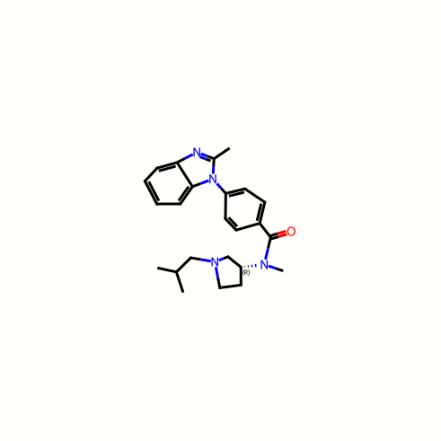 Cc1nc2ccccc2n1-c1ccc(C(=O)N(C)[C@@H]2CCN(CC(C)C)C2)cc1